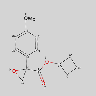 COc1ccc(C2(C(=O)OC3CCC3)CO2)cc1